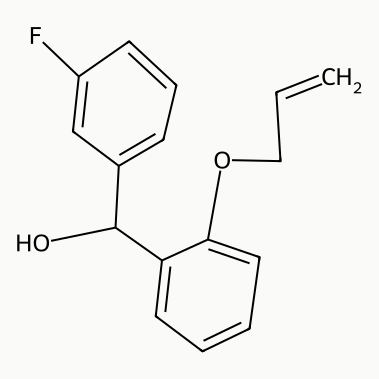 C=CCOc1ccccc1C(O)c1cccc(F)c1